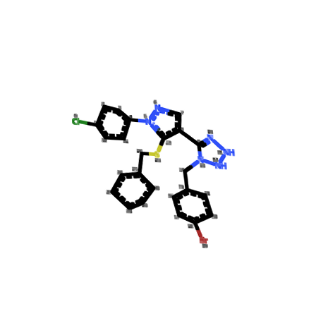 Clc1ccc(-n2ncc(C3=NNNN3Cc3ccc(Br)cc3)c2SCc2ccccc2)cc1